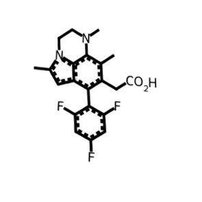 Cc1c(CC(=O)O)c(-c2c(F)cc(F)cc2F)c2cc(C)n3c2c1N(C)CC3